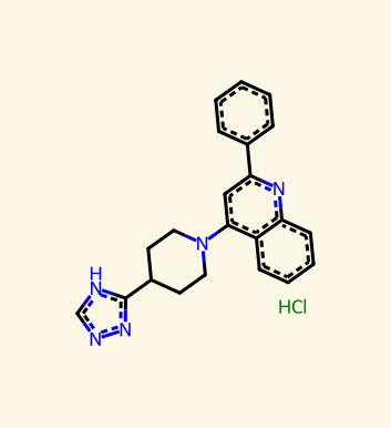 Cl.c1ccc(-c2cc(N3CCC(c4nnc[nH]4)CC3)c3ccccc3n2)cc1